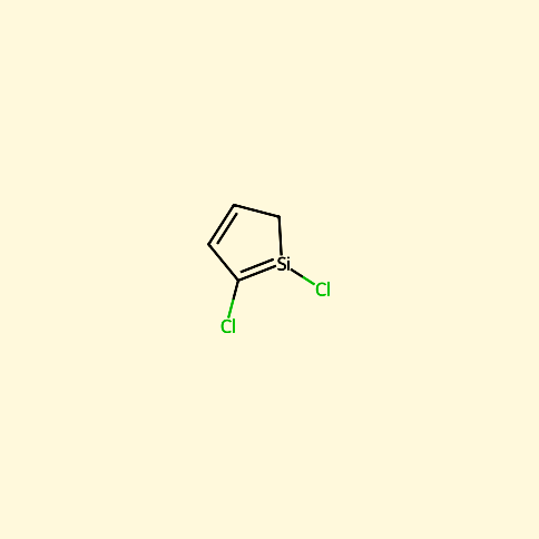 ClC1=[Si](Cl)CC=C1